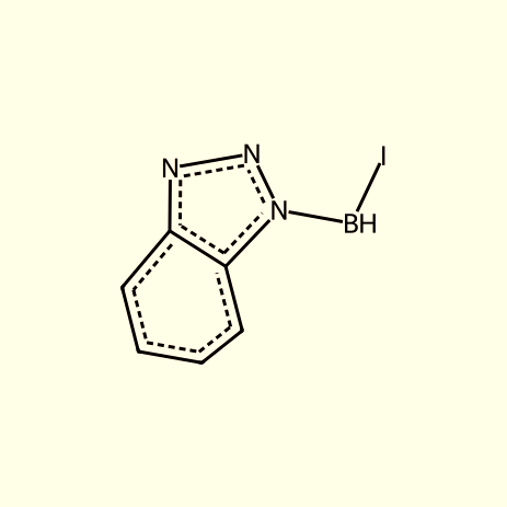 IBn1nnc2ccccc21